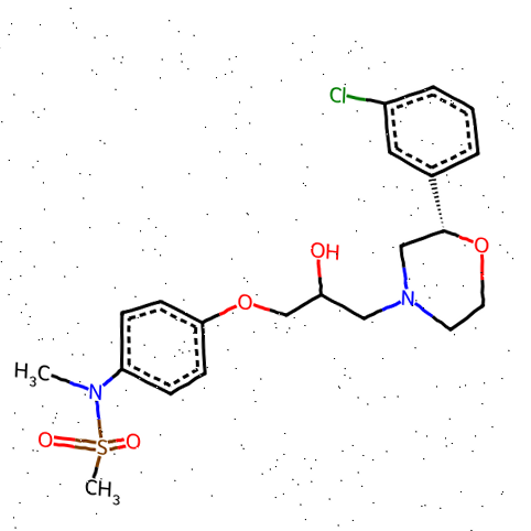 CN(c1ccc(OCC(O)CN2CCO[C@@H](c3cccc(Cl)c3)C2)cc1)S(C)(=O)=O